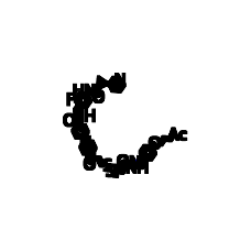 CC(=O)CCCOc1ccc(/C(C)=N/NC(=O)CC(C)(C)SSCCC(=O)N2CCN(C3CCN(C(=O)NCc4ccc(NC(=O)C5CC5c5cccnc5)cc4F)CC3)CC2)cc1